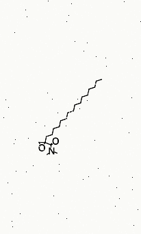 CCCCCCCCCCCCCCCCC1(C(=O)N(C)C)CO1